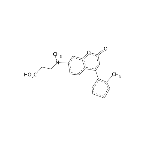 Cc1ccccc1-c1cc(=O)oc2cc(N(C)CCC(=O)O)ccc12